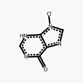 O=c1nc[nH]c2c1ncn2Cl